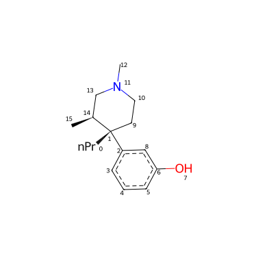 CCC[C@]1(c2cccc(O)c2)CCN(C)C[C@@H]1C